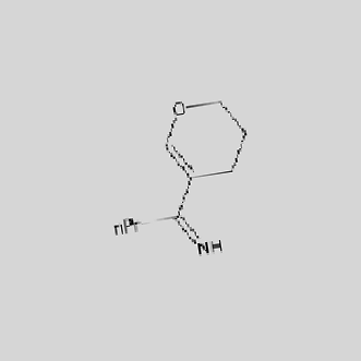 CCCC(=N)C1=COCCC1